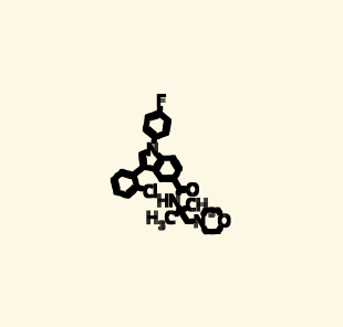 CC(C)(CN1CCOCC1)NC(=O)c1ccc2c(c1)c(-c1ccccc1Cl)cn2-c1ccc(F)cc1